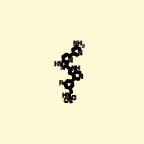 CS(=O)(=O)NCc1cc(F)cc(-c2cncc3[nH]c(-c4n[nH]c5ccc(-c6cncc(N)c6)nc45)cc23)c1